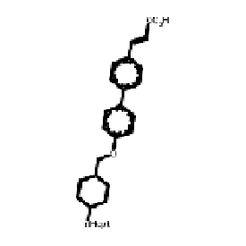 CCCCCCCC1CCC(COc2ccc(-c3ccc(/C=C/C(=O)O)cc3)cc2)CC1